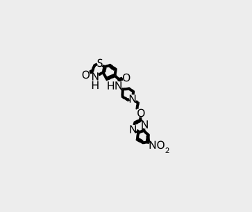 O=C1CSc2ccc(C(=O)NC3CCN(CCOc4cnc5ccc([N+](=O)[O-])cc5n4)CC3)cc2N1